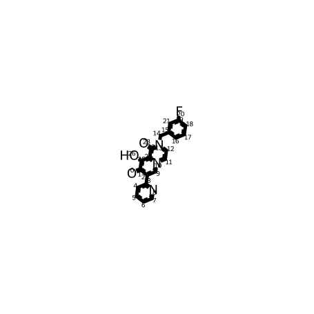 O=c1c(-c2ccccn2)cn2ccn(Cc3cccc(F)c3)c(=O)c2c1O